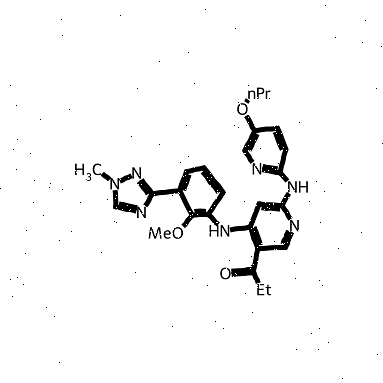 CCCOc1ccc(Nc2cc(Nc3cccc(-c4ncn(C)n4)c3OC)c(C(=O)CC)cn2)nc1